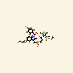 COc1ccc2c(c1)c(CC(=O)SC[C@@H](C)C(=O)N1CSC[C@H]1C(=O)O)c(C)n2C(=O)c1ccc(Cl)cc1